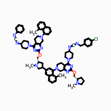 Cc1cccc2cccc(N3CCc4c(nc(OC[C@@H]5CC(c6cc(N7CCc8c(nc(OC[C@@H]9CCCN9C)nc8N8CCC(N=C=NCc9ccc(Cl)cc9)CC8)C7)c7c(C)cccc7c6)CN5C)nc4N4CCC(N=C=Nc5ccccc5)CC4)C3)c12